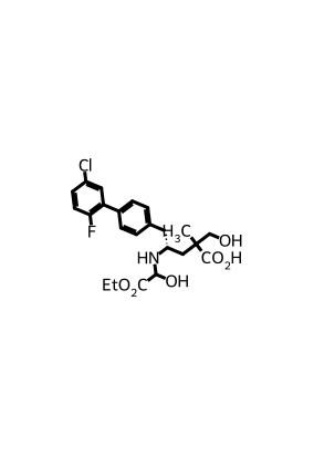 CCOC(=O)C(O)N[C@H](Cc1ccc(-c2cc(Cl)ccc2F)cc1)CC(C)(CO)C(=O)O